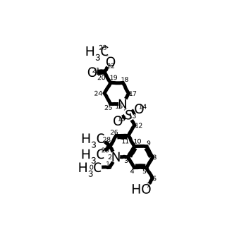 CCN1c2cc(CO)ccc2C(CS(=O)(=O)N2CCC(C(=O)OC)CC2)=CC1(C)C